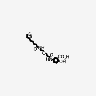 O=C(CCCCC1CCSS1)NCCOCCC(=O)Nc1ccc(O)c(C(=O)O)c1